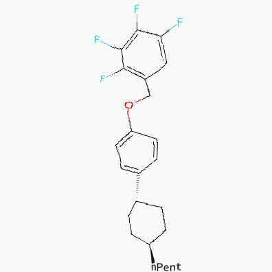 CCCCC[C@H]1CC[C@H](c2ccc(OCc3cc(F)c(F)c(F)c3F)cc2)CC1